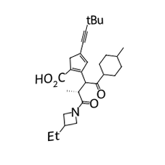 CCC1CN(C(=O)[C@H](C)C(C(=O)C2CCC(C)CC2)C2=C(C(=O)O)CC(C#CC(C)(C)C)=C2)C1